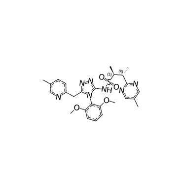 COc1cccc(OC)c1-n1c(Cc2ccc(C)cn2)nnc1NS(=O)(=O)[C@@H](C)[C@H](C)c1ncc(C)cn1